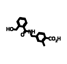 Cc1cc(CNC(=O)c2ccccc2CO)ccc1C(=O)O